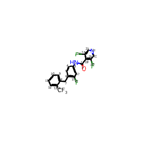 O=C(Nc1ccc(Cc2ccccc2C(F)(F)F)c(F)c1)c1c(F)cncc1F